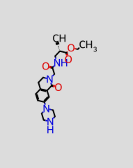 C#C[C@@H](CNC(=O)CN1CCc2ccc(N3CCNCC3)cc2C1=O)C(=O)OCC